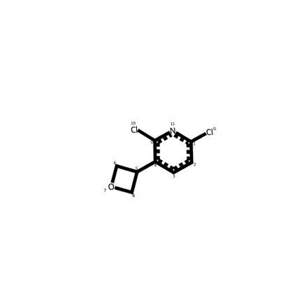 Clc1ccc(C2COC2)c(Cl)n1